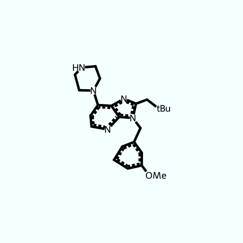 COc1cccc(Cn2c(CC(C)(C)C)nc3c(N4CCNCC4)ccnc32)c1